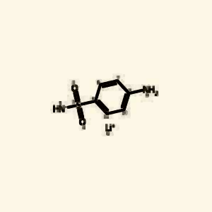 [Li+].[NH-]S(=O)(=O)c1ccc(N)cc1